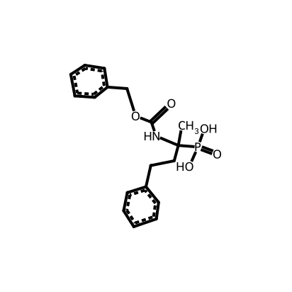 CC(CCc1ccccc1)(NC(=O)OCc1ccccc1)P(=O)(O)O